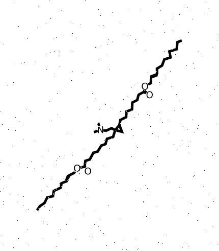 CCCCCCCC/C=C/COC(=O)CCCCCCCCC1(CCN(C)C)CC1CCCCCCCC(=O)OC/C=C/CCCCCCCC